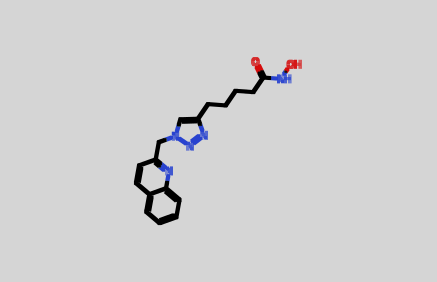 O=C(CCCCc1cn(Cc2ccc3ccccc3n2)nn1)NO